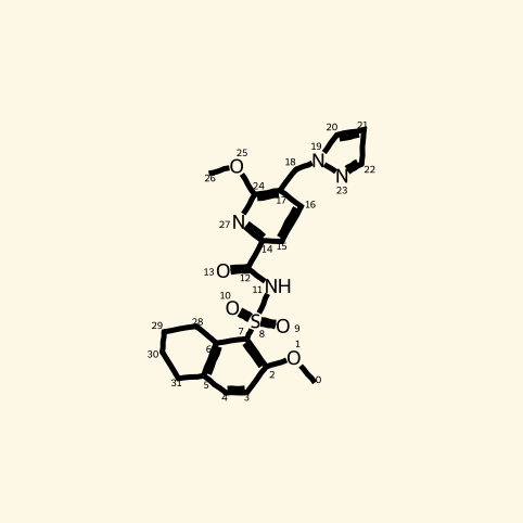 COc1ccc2c(c1S(=O)(=O)NC(=O)c1ccc(Cn3cccn3)c(OC)n1)CCCC2